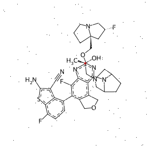 C[C@@H](O)CN1CC2CCC(C1)N2c1nc(OC[C@@]23CCCN2C[C@H](F)C3)nc2c(F)c(-c3ccc(F)c4sc(N)c(C#N)c34)c3c(c12)COC3